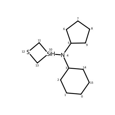 C1CCC(N(C2CCCC2)[SiH]2CSC2)CC1